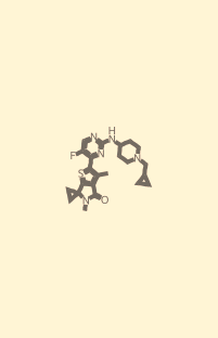 Cc1c(-c2nc(NC3CCN(CC4CC4)CC3)ncc2F)sc2c1C(=O)N(C)C21CC1